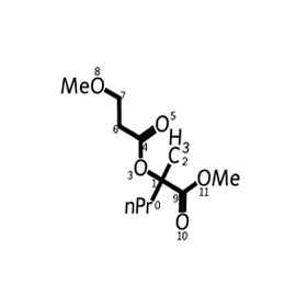 CCCC(C)(OC(=O)CCOC)C(=O)OC